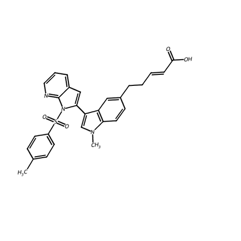 Cc1ccc(S(=O)(=O)n2c(-c3cn(C)c4ccc(CCC=CC(=O)O)cc34)cc3cccnc32)cc1